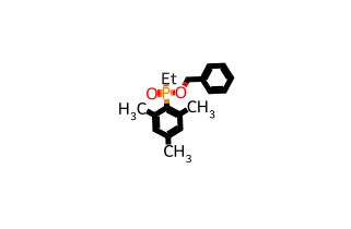 CCP(=O)(OCc1ccccc1)c1c(C)cc(C)cc1C